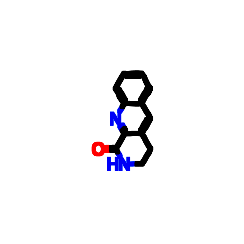 O=C1NCCc2cc3ccccc3nc21